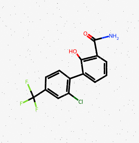 NC(=O)c1cccc(-c2ccc(C(F)(F)F)cc2Cl)c1O